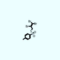 Cc1ccc(S(=O)(=O)SCC(Br)=C(Br)Br)cc1